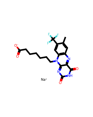 Cc1cc2nc3c(=O)[nH]c(=O)nc-3n(CCCCCCC(=O)[O-])c2cc1C(F)(F)F.[Na+]